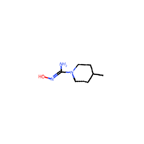 CC1CCN(C(N)=NO)CC1